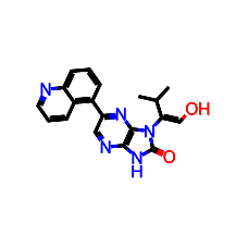 CC(C)/C(=C\O)n1c(=O)[nH]c2ncc(-c3cccc4ncccc34)nc21